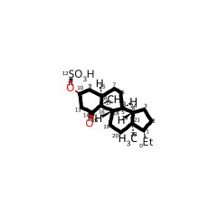 CC[C@H]1CC[C@H]2[C@@H]3CC[C@@H]4C[C@@H](OS(=O)(=O)O)CC(=O)[C@]4(C)[C@H]3CC[C@]12C